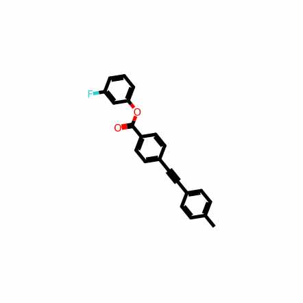 Cc1ccc(C#Cc2ccc(C(=O)Oc3cccc(F)c3)cc2)cc1